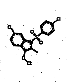 [CH2]COc1c(C)n(S(=O)(=O)c2ccc(Cl)cc2)c2cc(Cl)ccc12